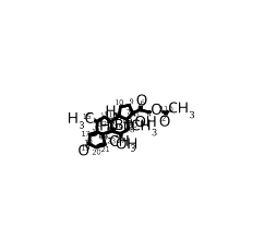 CC(=O)OCC(=O)[C@@]1(O)CC[C@H]2[C@@H]3CC(C)C4=CC(=O)C=C[C@]4(C)[C@@]3(Br)C(O)C[C@@]21C